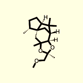 COC[C@]1(C)O[C@@H]2[C@@H]3C[C@@]4(CC2(C)O1)[C@H](C)CC[C@H]4C3(C)C